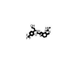 CNc1ncc2c(n1)-c1cc(C(=O)NC(CCO)c3ccc(C(F)(F)F)cc3)sc1CC2